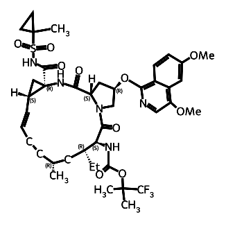 CC[C@@H]1C[C@H](C)CCC=C[C@@H]2C[C@@]2(C(=O)NS(=O)(=O)C2(C)CC2)NC(=O)[C@@H]2C[C@@H](Oc3ncc(OC)c4cc(OC)ccc34)CN2C(=O)[C@H]1NC(=O)OC(C)(C)C(F)(F)F